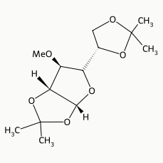 CO[C@H]1C([C@@H]2COC(C)(C)O2)O[C@@H]2OC(C)(C)O[C@@H]21